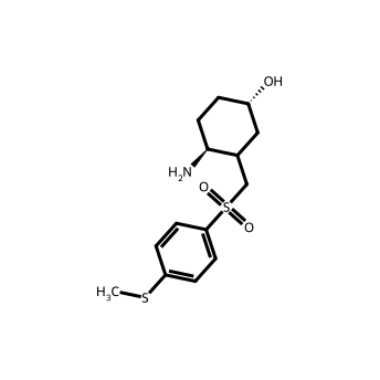 CSc1ccc(S(=O)(=O)CC2C[C@@H](O)CC[C@@H]2N)cc1